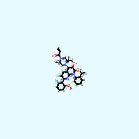 C=CC(=O)N1C[C@@H]2COc3c(c4cc(F)c(-c5c(F)cccc5OC)nc4n(-c4ccccc4C(C)C)c3=O)N2C[C@H]1C